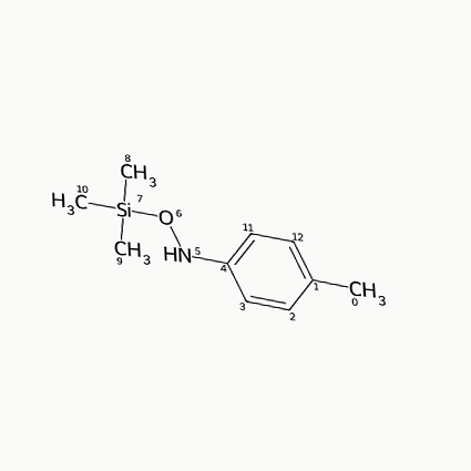 Cc1ccc(NO[Si](C)(C)C)cc1